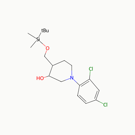 CC(C)(C)[Si](C)(C)OCC1CCN(c2ccc(Cl)cc2Cl)CC1O